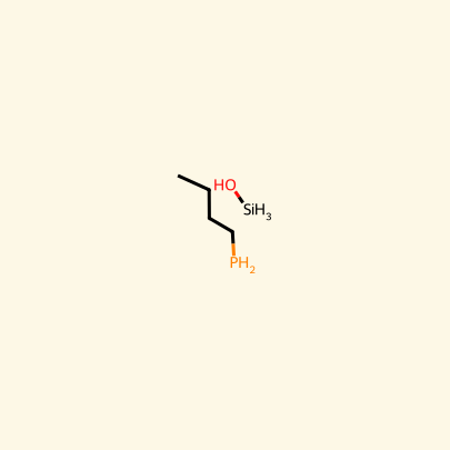 CCCCP.O[SiH3]